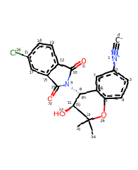 [C-]#[N+]c1ccc2c(c1)[C@@H](N1C(=O)c3ccc(Cl)cc3C1=O)[C@H](O)C(C)(C)O2